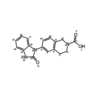 O=C(O)N1CCc2cc(-n3c(=O)[nH]c4ccccc43)ccc2C1